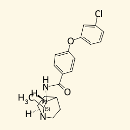 C[C@H]1[C@H](NC(=O)c2ccc(Oc3cccc(Cl)c3)cc2)C2CCN1CC2